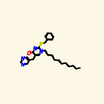 CCCCCCCCCCCn1cc(Cc2cncnc2)c(=O)nc1SCc1ccccc1